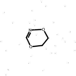 [CH]1COC=NO1